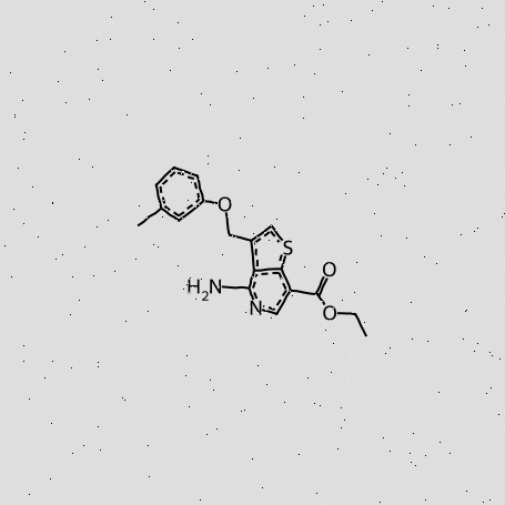 CCOC(=O)c1cnc(N)c2c(COc3cccc(C)c3)csc12